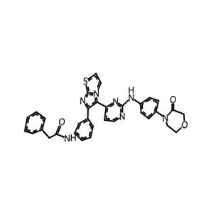 O=C(Cc1ccccc1)Nc1cccc(-c2nc3sccn3c2-c2ccnc(Nc3ccc(N4CCOCC4=O)cc3)n2)c1